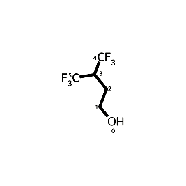 OC[CH]C(C(F)(F)F)C(F)(F)F